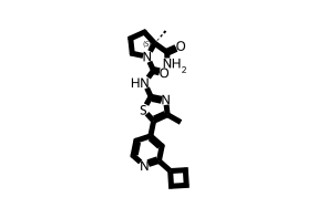 Cc1nc(NC(=O)N2CCC[C@@]2(C)C(N)=O)sc1-c1ccnc(C2CCC2)c1